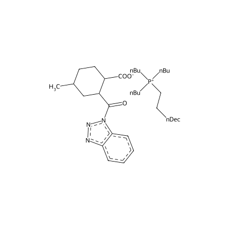 CC1CCC(C(=O)[O-])C(C(=O)n2nnc3ccccc32)C1.CCCCCCCCCCCC[P+](CCCC)(CCCC)CCCC